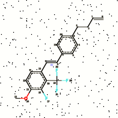 C=CCCc1ccc(/C=C/c2ccc(OC)c(F)c2C(F)(F)F)cc1